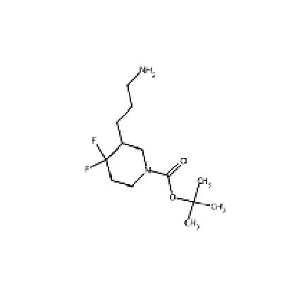 CC(C)(C)OC(=O)N1CCC(F)(F)C(CCCN)C1